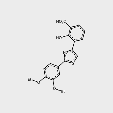 CCOc1ccc(-c2nc(-c3cc[c]c(C(=O)O)c3O)cs2)cc1OCC